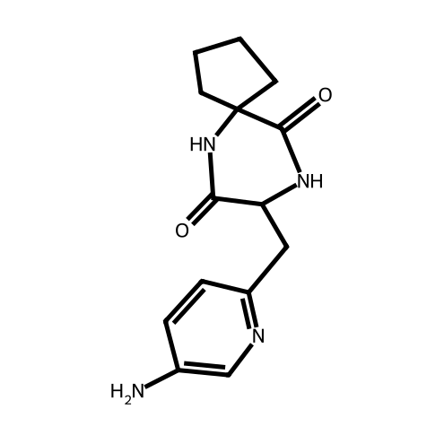 Nc1ccc(CC2NC(=O)C3(CCCC3)NC2=O)nc1